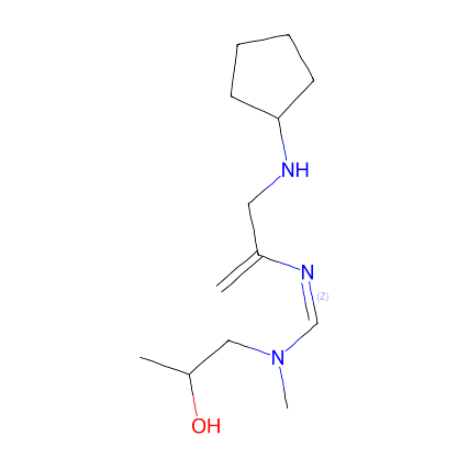 C=C(CNC1CCCC1)/N=C\N(C)CC(C)O